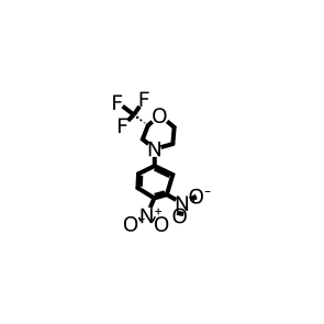 O=[N+]([O-])c1ccc(N2CCO[C@@H](C(F)(F)F)C2)cc1[N+](=O)[O-]